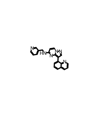 c1cncc(CNc2ccn3ncc(-c4cccc5cccnc45)c3n2)c1